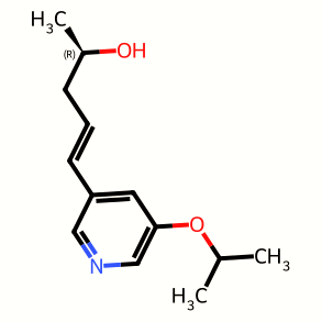 CC(C)Oc1cncc(C=CC[C@@H](C)O)c1